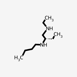 CCCCN[C@@H](CC)CNCC